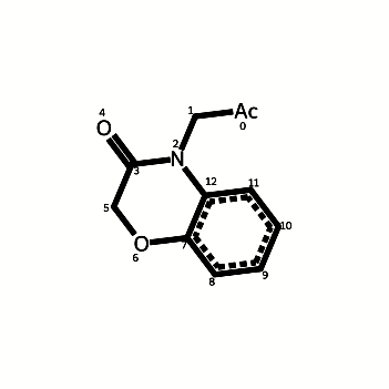 CC(=O)CN1C(=O)COc2ccccc21